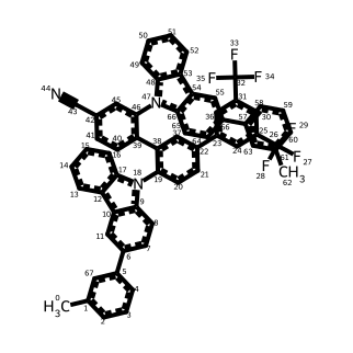 Cc1cccc(-c2ccc3c(c2)c2ccccc2n3-c2ccc(-c3cc(C(F)(F)F)cc(C(F)(F)F)c3)cc2-c2ccc(C#N)cc2-n2c3ccccc3c3cc(-c4cccc(C)c4)ccc32)c1